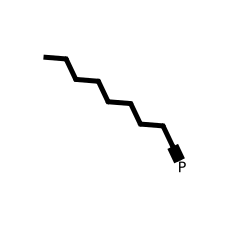 CCCCCCCCC#P